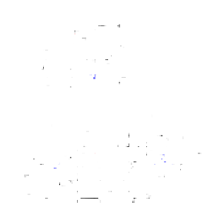 CCN(CCC1CCC(c2cccc(C3CCCC(c4ccccc4)(N4CCCC4)C3=O)c2)(N2CCCCC2)C(=O)C1)C1(c2ccccc2)CCCCC1=O